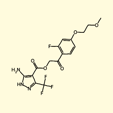 COCCOc1ccc(C(=O)COC(=O)c2c(C(F)(F)F)n[nH]c2N)c(F)c1